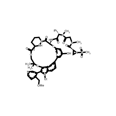 CCn1c(-c2cnccc2COC)c2c3cc(ccc31)-c1cc(O)cc(c1)C[C@H](NC(=O)[C@H](C(C)C)N(C)C(=O)CN(C)C(=O)[C@@H]1CN1S(C)(=O)=O)C(=O)N1CCC[C@H](N1)C(=O)OCC(C)(C)C2